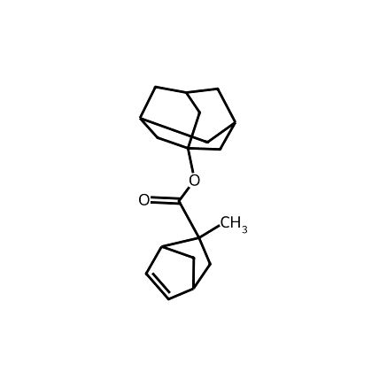 CC1(C(=O)OC23CC4CC(CC(C4)C2)C3)CC2C=CC1C2